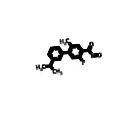 Cc1cc(C(=O)N=O)c(F)cc1-c1cccc(C(C)C)c1